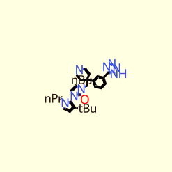 CCCCc1cn(-c2c(C(C)(C)C)ccn2CCC)c(=O)n1CC1(c2cccc(-c3nnn[nH]3)c2)C=CN=CC1